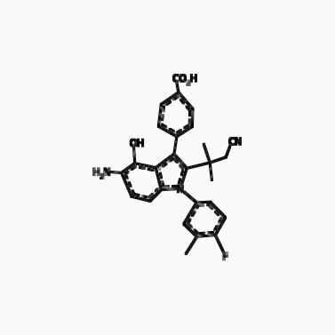 Cc1cc(-n2c(C(C)(C)CC#N)c(-c3ccc(C(=O)O)cc3)c3c(O)c(N)ccc32)ccc1F